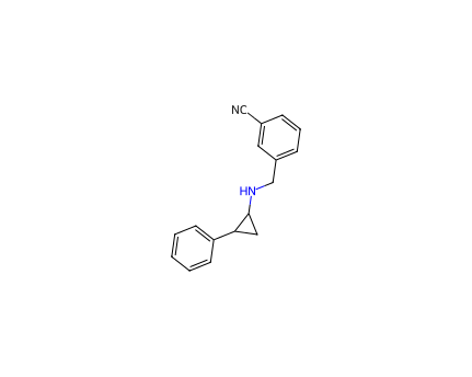 N#Cc1cccc(CNC2CC2c2ccccc2)c1